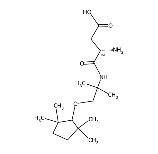 CC(C)(COC1C(C)(C)CCC1(C)C)NC(=O)[C@@H](N)CC(=O)O